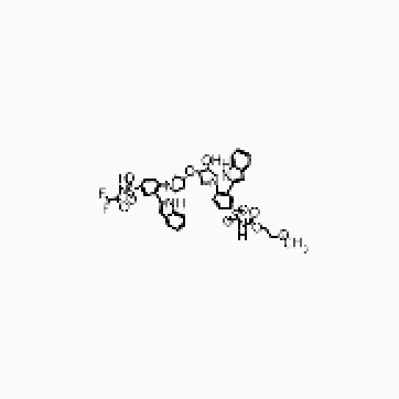 COCCOC(=O)NS(=O)(=O)c1ccc(N2CC(O[C@H]3CCN(c4ccc(S(=O)(=O)NC(=O)C(F)F)cc4-c4cc5ccccc5[nH]4)C3)[C@H](O)C2)c(-c2cc3ccccc3[nH]2)c1